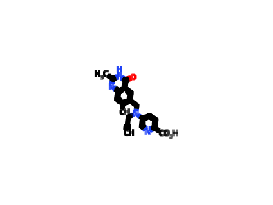 C#CCN(Cc1cc2c(=O)[nH]c(C)nc2cc1C)c1ccc(C(=O)O)nc1